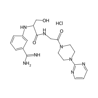 Cl.N=C(N)c1cccc(NC(CO)C(=O)NCC(=O)N2CCN(c3ncccn3)CC2)c1